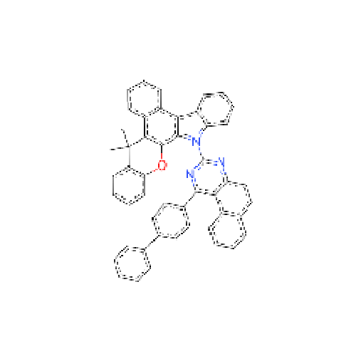 CC1(C)c2ccccc2Oc2c1c1ccccc1c1c3ccccc3n(-c3nc(-c4ccc(-c5ccccc5)cc4)c4c(ccc5ccccc54)n3)c21